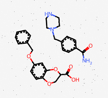 NC(=O)c1ccc(CN2CCNCC2)cc1.O=C(O)C1COc2ccc(OCc3ccccc3)cc2O1